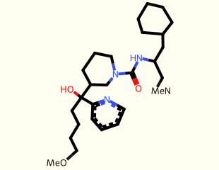 CNCC(CC1CCCCC1)NC(=O)N1CCCC(C(O)(CCCCOC)c2ccccn2)C1